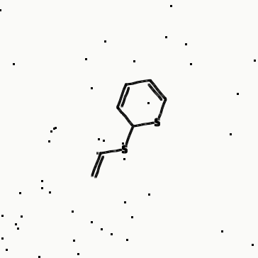 C=[C]SC1C=CC=CS1